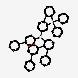 c1ccc(-c2ccc(N(c3ccc4c(c3)[Si](c3ccccc3)(c3ccccc3)c3ccccc3-4)c3cccc(-c4ccccc4)c3-c3cccc(-c4ccccc4)c3)cc2)cc1